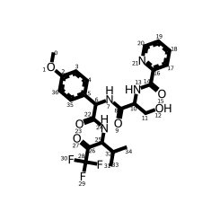 COc1ccc(C(NC(=O)C(CO)NC(=O)c2ccccn2)C(=O)NC(C(=O)C(F)(F)F)C(C)C)cc1